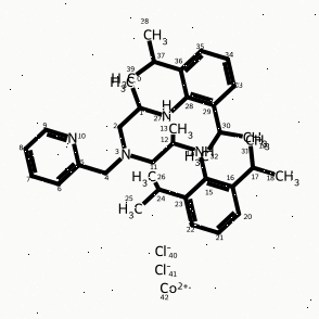 CC(CN(Cc1ccccn1)CC(C)Nc1c(C(C)C)cccc1C(C)C)Nc1c(C(C)C)cccc1C(C)C.[Cl-].[Cl-].[Co+2]